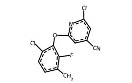 Cc1ccc(Cl)c(Oc2cc(C#N)cc(Cl)n2)c1F